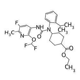 CCOC(=O)C1CCC(N(C(=O)Nc2cc(F)c(C)nc2OC(F)F)c2ccccc2C(C)C)CC1